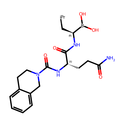 CC(C)C[C@H](NC(=O)[C@H](CCC(N)=O)NC(=O)N1CCc2ccccc2C1)B(O)O